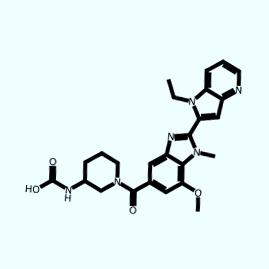 CCn1c(-c2nc3cc(C(=O)N4CCCC(NC(=O)O)C4)cc(OC)c3n2C)cc2ncccc21